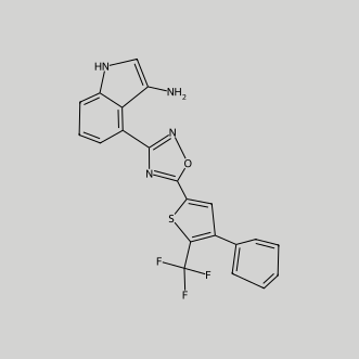 Nc1c[nH]c2cccc(-c3noc(-c4cc(-c5ccccc5)c(C(F)(F)F)s4)n3)c12